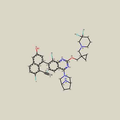 C#Cc1c(F)ccc2cc(O)cc(-c3c(F)cc4c(N5CC6CCC(C5)N6)nc(OCC5(CN6CCCC(F)(F)C6)CC5)nc4c3F)c12